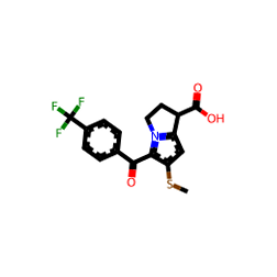 CSc1cc2n(c1C(=O)c1ccc(C(F)(F)F)cc1)CCC2C(=O)O